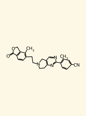 Cc1cc(C#N)ccc1-c1ncc2c(n1)CCN(CCc1ccc3c(c1C)COC3=O)C2